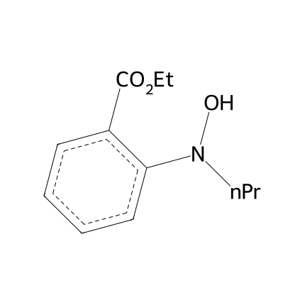 CCCN(O)c1ccccc1C(=O)OCC